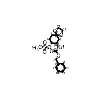 CS(=O)(=O)O[C@@H]1CCC2(C[C@H]1NC(=O)OCc1ccccc1)OCCO2